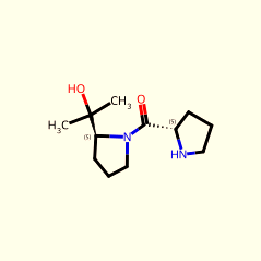 CC(C)(O)[C@@H]1CCCN1C(=O)[C@@H]1CCCN1